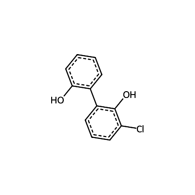 Oc1ccccc1-c1cccc(Cl)c1O